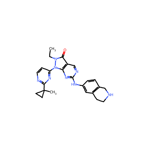 CCn1c(=O)c2cnc(Nc3ccc4c(c3)CCNC4)nc2n1-c1ccnc(C2(C)CC2)n1